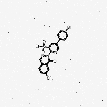 CCS(=O)(=O)c1cc(-c2ccc(Br)cc2)cnc1-n1ncc2ccc(C(F)(F)F)cc2c1=O